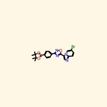 CC1(C)OB(c2ccc(-c3noc(-c4cnc5ccc(Br)cn45)n3)cc2)OC1(C)C